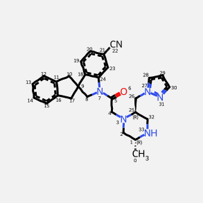 C[C@@H]1CN(CC(=O)N2CC3(Cc4ccccc4C3)c3ccc(C#N)cc32)[C@@H](Cn2cccn2)CN1